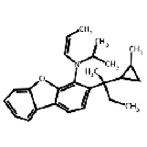 C/C=C\N(c1c(C(C)(CC)C2CC2C)ccc2c1oc1ccccc12)C(C)C